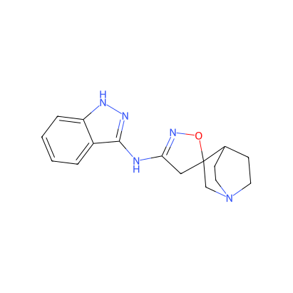 c1ccc2c(NC3=NOC4(C3)CN3CCC4CC3)n[nH]c2c1